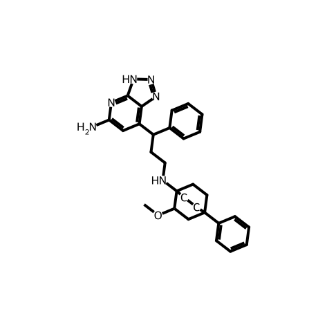 COC1CC2(c3ccccc3)CCC1(NCCC(c1ccccc1)c1cc(N)nc3[nH]nnc13)CC2